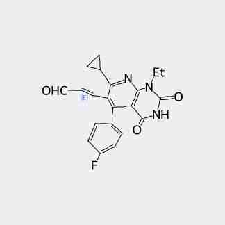 CCn1c(=O)[nH]c(=O)c2c(-c3ccc(F)cc3)c(/C=C/C=O)c(C3CC3)nc21